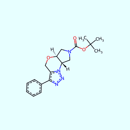 CC(C)(C)OC(=O)N1C[C@@H]2OCc3c(-c4ccccc4)nnn3[C@H]2C1